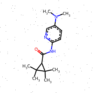 CN(C)c1ccc(NC(=O)C2C(C)(C)C2(C)C)nc1